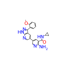 COc1ccccc1-c1n[nH]c2ncc(-c3cnc(N)c(C(=O)NC4CC4)c3)cc12